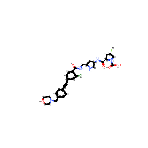 O=C(NC[C@H]1C[C@@H](NC(=O)[C@@H]2C[C@H](F)CN2C(=O)O)CN1)c1ccc(C#Cc2ccc(CN3CCOCC3)cc2)cc1Cl